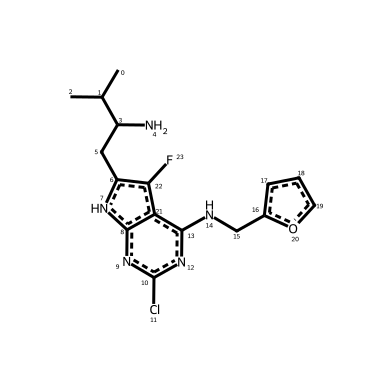 CC(C)C(N)Cc1[nH]c2nc(Cl)nc(NCc3ccco3)c2c1F